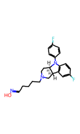 ON=CCCCCN1CC[C@@H]2[C@@H](C1)c1cc(F)ccc1N2c1ccc(F)cc1